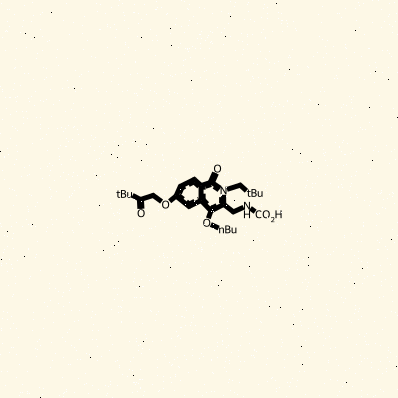 CCCCOc1c(CNC(=O)O)n(CC(C)(C)C)c(=O)c2ccc(OCC(=O)C(C)(C)C)cc12